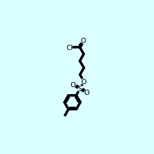 Cc1ccc(S(=O)(=O)OCCCCC(=O)Cl)cc1